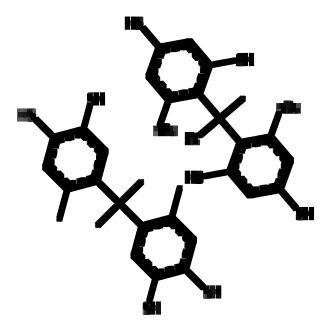 CCCCc1cc(S)cc(S)c1C(C)(CC)c1c(S)cc(S)cc1CCCC.Cc1cc(S)c(S)cc1C(C)(C)c1cc(S)c(S)cc1C